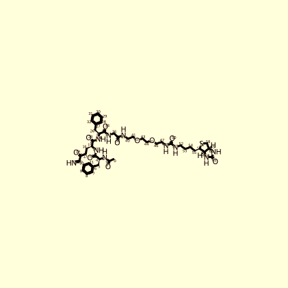 CC(=O)N[C@@H](Cc1ccccc1)C(=O)N[C@@H](CCC(=O)C=N)C(=O)N[C@@H](Cc1ccccc1)C(=O)NCC(=O)NCCOCCOCCNC(=O)NCCCC[C@H]1SC[C@H]2NC(=O)N[C@H]21